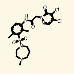 Cc1ccc(NC(=O)Cn2ncc(Cl)c(Cl)c2=O)c(C)c1S(=O)(=O)N1CCCN(C)CC1